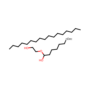 CCCCCCCCCCCCCCCC(O)OCCO.CCCCCCCCCCCCCCCCC